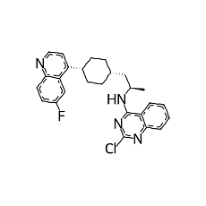 C[C@H](C[C@H]1CC[C@@H](c2ccnc3ccc(F)cc32)CC1)Nc1nc(Cl)nc2ccccc12